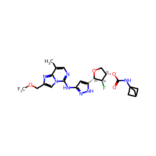 Cc1cnc(Nc2cc([C@@H]3OC[C@H](OC(=O)NC45CC(C4)C5)[C@H]3F)[nH]n2)n2cc(COC(F)(F)F)nc12